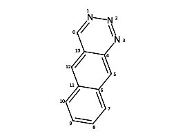 [c]1nnnc2cc3ccccc3cc12